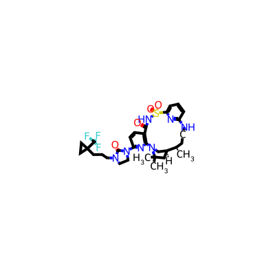 C[C@H]1CCNc2cccc(n2)S(=O)(=O)NC(=O)c2ccc(N3CCN(CCCC4(C(F)(F)F)CC4)C3=O)nc2N2C[C@@H]1CC2(C)C